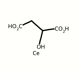 O=C(O)CC(O)C(=O)O.[Ce]